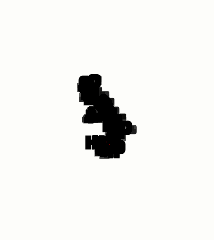 COc1cc(C(=O)N2C[C@H]3CC[C@@H]2[C@@H]3N)cc2nc(-c3cc4ccc(-c5ccc6c(c5)C(=O)OC6)nc4n3CC3CC3)n(C)c12